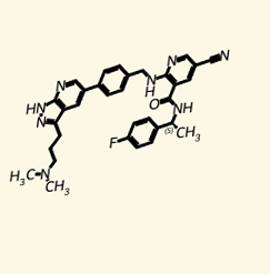 C[C@H](NC(=O)c1cc(C#N)cnc1NCc1ccc(-c2cnc3[nH]nc(CCCN(C)C)c3c2)cc1)c1ccc(F)cc1